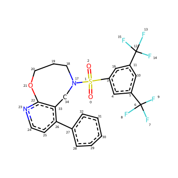 O=S(=O)(c1cc(C(F)(F)F)cc(C(F)(F)F)c1)N1CCCOc2nccc(-c3ccccc3)c2C1